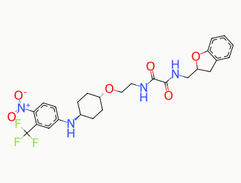 O=C(NCCO[C@H]1CC[C@H](Nc2ccc([N+](=O)[O-])c(C(F)(F)F)c2)CC1)C(=O)NCC1Cc2ccccc2O1